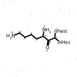 CCCCCCC(CCCCC)C(=O)C(N)CCCCN